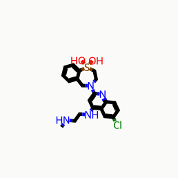 CNCCNc1cc(N2CCS(O)(O)c3ccccc3C2)nc2ccc(Cl)cc12